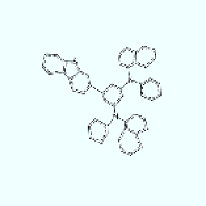 c1ccc(N(c2cc(-c3ccc4c(c3)sc3ccccc34)cc(N(c3ccccc3)c3cccc4ccccc34)c2)c2cccc3ccccc23)cc1